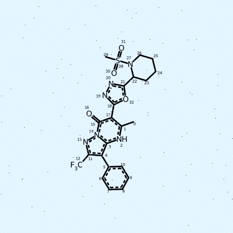 Cc1[nH]c2c(-c3ccccc3)c(C(F)(F)F)nn2c(=O)c1-c1nnc(C2CCCCN2S(C)(=O)=O)o1